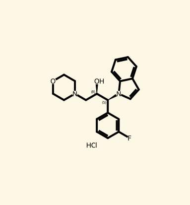 Cl.O[C@H](CN1CCOCC1)[C@H](c1cccc(F)c1)n1ccc2ccccc21